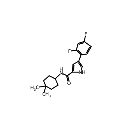 CC1(C)CCC(NC(=O)c2cc(-c3ccc(F)cc3F)c[nH]2)CC1